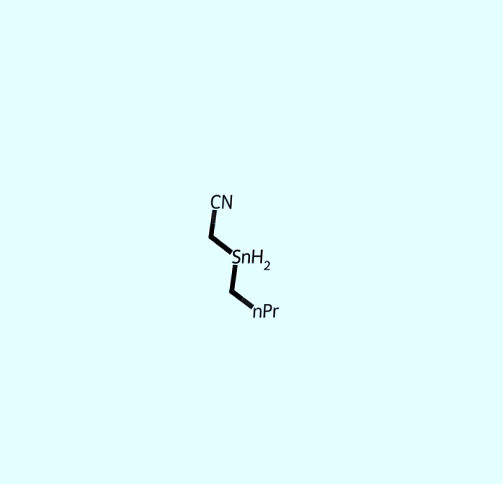 CCC[CH2][SnH2][CH2]C#N